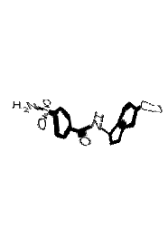 NS(=O)(=O)c1ccc(C(=O)N[C@@H]2CCc3cc(Cl)ccc32)cc1